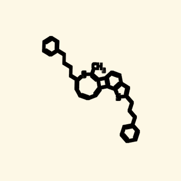 Cc1sc(CCCCc2ccccc2)ccccc2c1-c1ccc3cc(CCCc4ccccc4)sc3c1-2